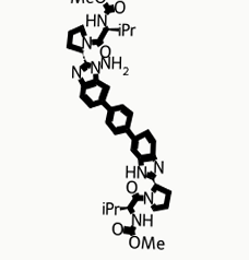 COC(=O)N[C@H](C(=O)N1CCC[C@H]1c1nc2ccc(-c3ccc(-c4ccc5nc([C@@H]6CCCN6C(=O)[C@@H](NC(=O)OC)C(C)C)n(N)c5c4)cc3)cc2[nH]1)C(C)C